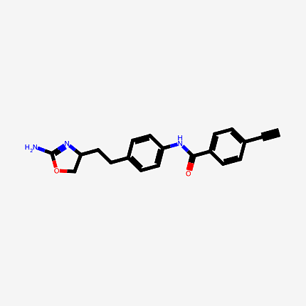 C#Cc1ccc(C(=O)Nc2ccc(CCC3COC(N)=N3)cc2)cc1